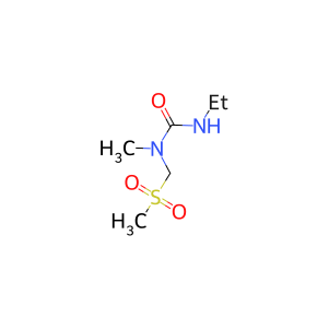 CCNC(=O)N(C)CS(C)(=O)=O